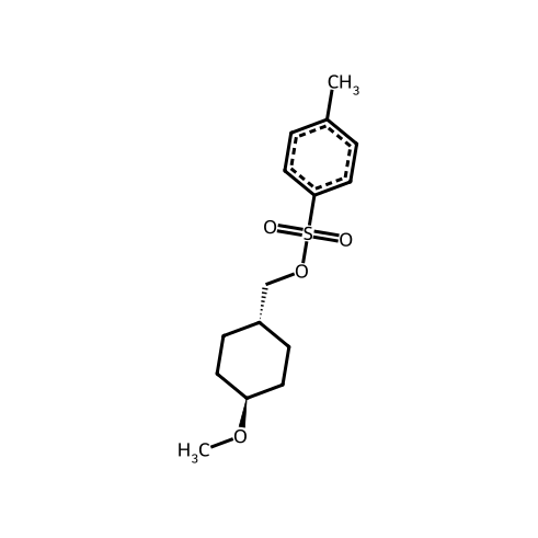 CO[C@H]1CC[C@H](COS(=O)(=O)c2ccc(C)cc2)CC1